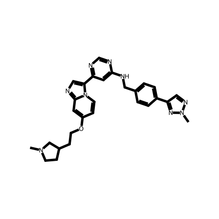 CN1CCC(CCOc2ccn3c(-c4cc(NCc5ccc(-c6cnn(C)n6)cc5)ncn4)cnc3c2)C1